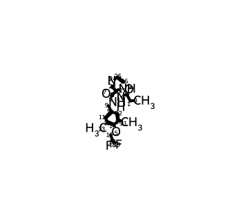 CCC(=O)NC1(C(=O)NCc2cc(C)c(OCC(F)F)c(C)c2)C=NC=CN1